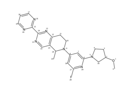 COC1CCN(c2cc(N3CCc4nc(-c5ncccn5)ncc4C3C)cc(F)n2)C1